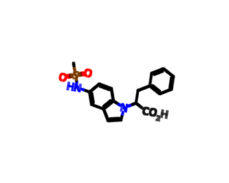 CS(=O)(=O)Nc1ccc2c(ccn2C(Cc2ccccc2)C(=O)O)c1